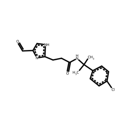 CC(C)(NC(=O)CCc1nc(C=O)c[nH]1)c1ccc(Cl)cc1